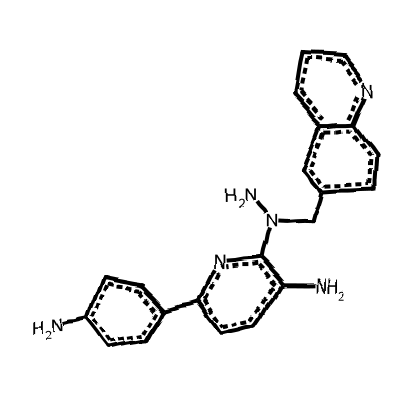 Nc1ccc(-c2ccc(N)c(N(N)Cc3ccc4ncccc4c3)n2)cc1